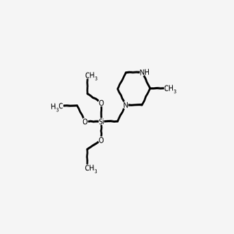 CCO[Si](CN1CCNC(C)C1)(OCC)OCC